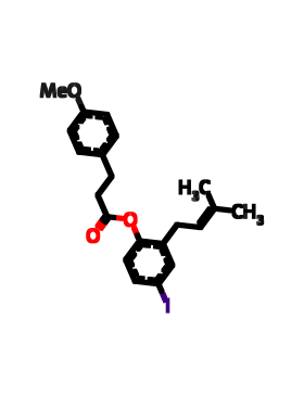 COc1ccc(CCC(=O)Oc2ccc(I)cc2CC=C(C)C)cc1